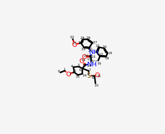 CCOC1CCC(CSC(C)=O)(C(=O)N[C@@H](Cc2ccccc2)C(=O)Nc2cccc(OC)c2)CC1